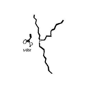 Br.C=CC(=O)OC.CCCCCCCCP(CCCCCCCC)CCCCCCCC